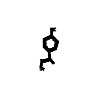 [C-]#[N+]c1ccc(/C(C)=N/C(C)C)cc1